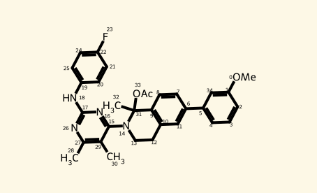 COc1cccc(-c2ccc3c(c2)CCN(c2nc(Nc4ccc(F)cc4)nc(C)c2C)C3(C)OC(C)=O)c1